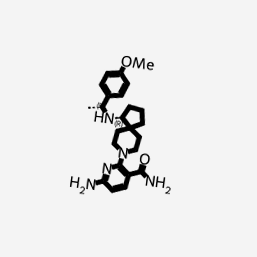 COc1ccc([C@@H](C)N[C@@H]2CCCC23CCN(c2nc(N)ccc2C(N)=O)CC3)cc1